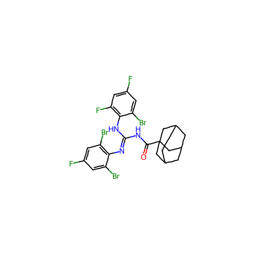 O=C(NC(=Nc1c(Br)cc(F)cc1Br)Nc1c(F)cc(F)cc1Br)C12CC3CC(CC(C3)C1)C2